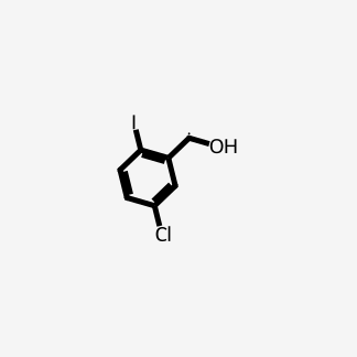 O[CH]c1cc(Cl)ccc1I